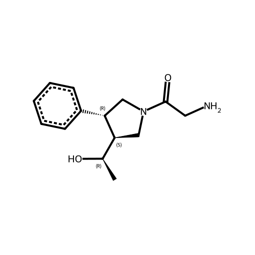 C[C@@H](O)[C@@H]1CN(C(=O)CN)C[C@H]1c1ccccc1